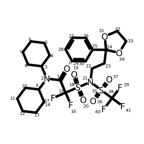 O=C(N(C1CCCCC1)C1CCCCC1)C(F)(F)S(=O)(=O)N(CCC1(c2ccccc2)OCCO1)S(=O)(=O)C(F)(F)F